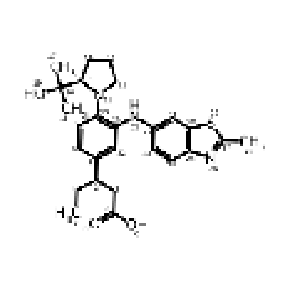 CCC(CC(=O)O)c1ccc(N2CCCC2C(C)(C)O)c(Nc2ccc3nc(C)sc3c2)c1